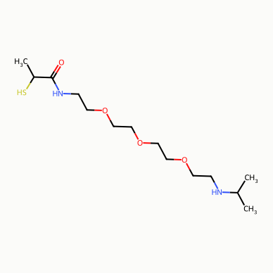 CC(C)NCCOCCOCCOCCNC(=O)C(C)S